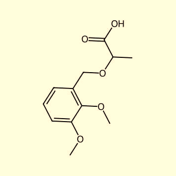 COc1cccc(COC(C)C(=O)O)c1OC